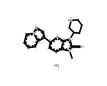 Cl.Cn1c(=O)n(C2CCCNC2)c2nc(-c3cnn4ccccc34)ccc21